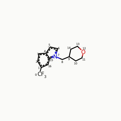 FC(F)(F)c1ccc2[c]cn(CC3CCOCC3)c2c1